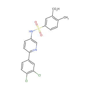 Cc1ccc(S(=O)(=O)Nc2ccc(-c3ccc(Cl)c(Cl)c3)nc2)cc1C(=O)O